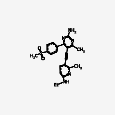 CCNc1ccc(C#Cc2c(C)nc(N)nc2-c2ccc(S(C)(=O)=O)cc2)c(C)n1